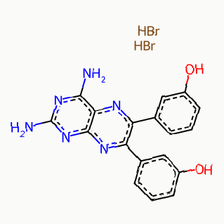 Br.Br.Nc1nc(N)c2nc(-c3cccc(O)c3)c(-c3cccc(O)c3)nc2n1